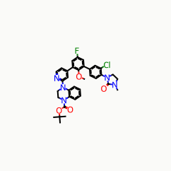 COc1c(-c2ccnc(N3CCN(C(=O)OC(C)(C)C)c4ccccc43)c2)cc(F)cc1-c1ccc(N2CCN(C)C2=O)c(Cl)c1